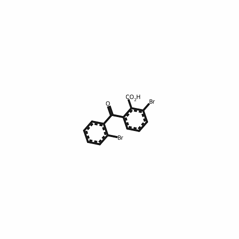 O=C(c1ccccc1Br)c1cccc(Br)c1C(=O)O